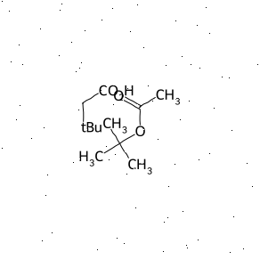 CC(=O)OC(C)(C)C.CC(C)(C)CC(=O)O